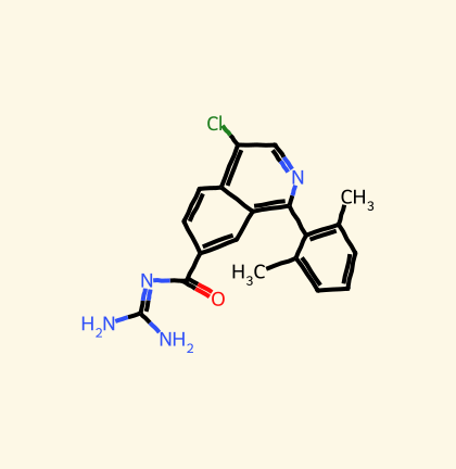 Cc1cccc(C)c1-c1ncc(Cl)c2ccc(C(=O)N=C(N)N)cc12